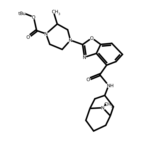 CC1CN(c2nc3c(C(=O)NC4CC5CCCC(C4)N5C)cccc3o2)CCN1C(=O)OC(C)(C)C